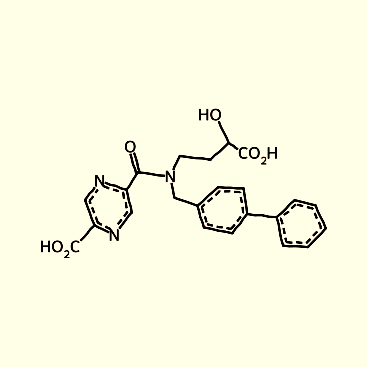 O=C(O)c1cnc(C(=O)N(CCC(O)C(=O)O)Cc2ccc(-c3ccccc3)cc2)cn1